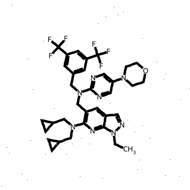 CCn1ncc2cc(CN(Cc3cc(C(F)(F)F)cc(C(F)(F)F)c3)c3ncc(N4CCOCC4)cn3)c(N(CC3CC3)CC3CC3)nc21